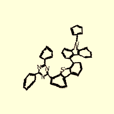 C1=Cc2c(n(-c3ccccc3)c3cccc(-c4cccc5c4sc4c(-c6nc(-c7ccccc7)nc(-c7ccccc7)n6)cccc45)c23)CC1